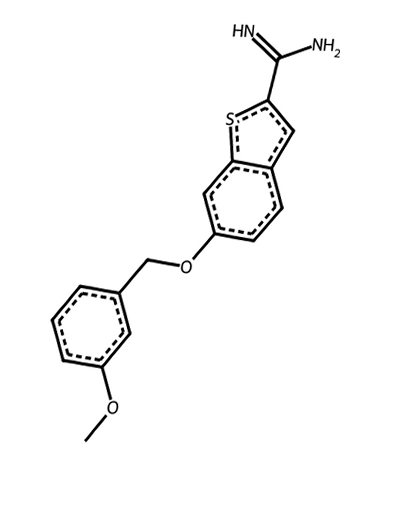 COc1cccc(COc2ccc3cc(C(=N)N)sc3c2)c1